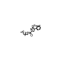 CCCCCN1N=C(C(=O)NCC(C)(C)CN(C)C)CC1c1ccccc1